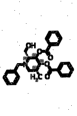 C[C@H]1CN(Cc2ccccc2)[C@H](CO)[C@@H](OC(=O)c2ccccc2)[C@@H]1OC(=O)c1ccccc1